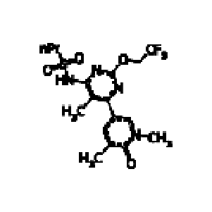 CCCS(=O)(=O)Nc1nc(OCC(F)(F)F)nc(-c2cc(C)c(=O)n(C)c2)c1C